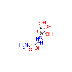 NC(=O)CC(O)c1ncn([C@@H]2O[C@H](CO)C(O)[C@@H]2O)n1